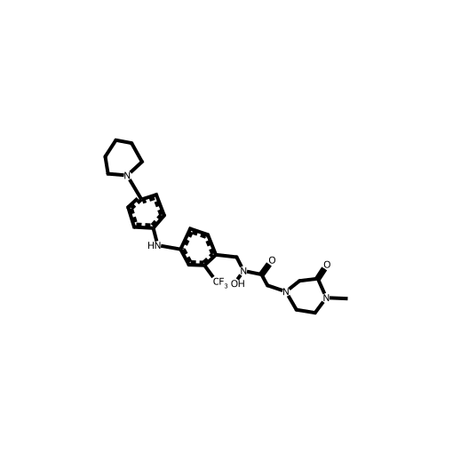 CN1CCN(CC(=O)N(O)Cc2ccc(Nc3ccc(N4CCCCC4)cc3)cc2C(F)(F)F)CC1=O